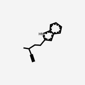 C#CC(C)CCc1cc2ccccc2[nH]1